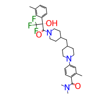 Cc1cccc([C@@](O)(C(=O)N2CCC(CC3CCN(c4ccc(C(=O)N(C)C)c(C)c4)CC3)CC2)C(F)(F)F)c1